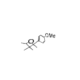 COc1ccc(C2(C)OC(C)C2(C)C)cc1